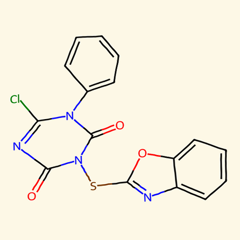 O=c1nc(Cl)n(-c2ccccc2)c(=O)n1Sc1nc2ccccc2o1